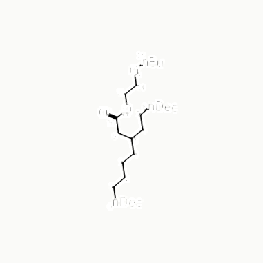 CCCCCCCCCCCCCCC(CCCCCCCCCCCC)CC(=O)OCCOCCCC